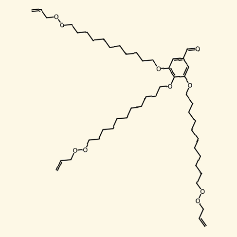 C=CCOOCCCCCCCCCCCOc1cc(C=O)cc(OCCCCCCCCCCCOOCC=C)c1OCCCCCCCCCCCOOCC=C